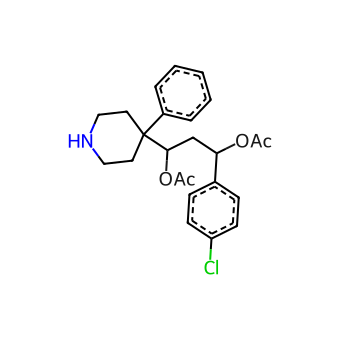 CC(=O)OC(CC(OC(C)=O)C1(c2ccccc2)CCNCC1)c1ccc(Cl)cc1